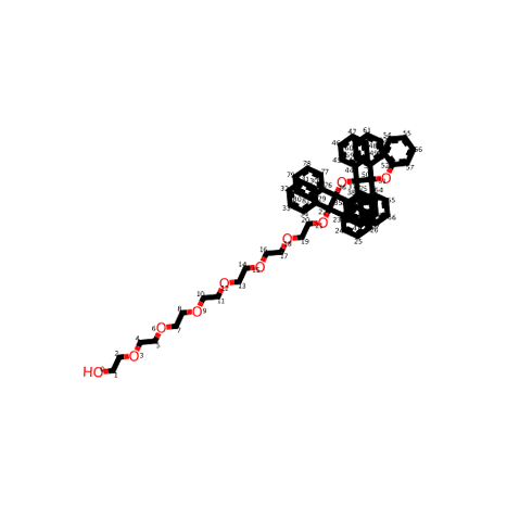 OCCOCCOCCOCCOCCOCCOCCOC(c1ccccc1)(c1ccccc1)C(OC(c1ccccc1)(c1ccccc1)C(Oc1ccccc1)(c1ccccc1)c1ccccc1)(c1ccccc1)c1ccccc1